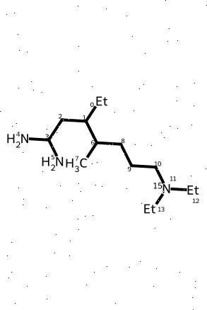 CCC(CC(N)N)C(C)CCC[15N](CC)CC